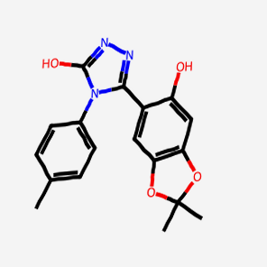 Cc1ccc(-n2c(O)nnc2-c2cc3c(cc2O)OC(C)(C)O3)cc1